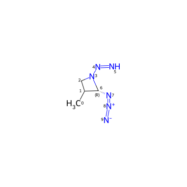 CC1CN(N=N)[C@@H]1N=[N+]=[N-]